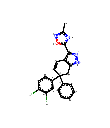 Cc1noc(-c2n[nH]c3c2C=CC(c2ccccc2)(c2ccc(F)c(F)c2)C3)n1